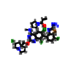 C=CC(=O)N1CC[C@@H](N(C)c2nc(OC[C@@]34CCCN3C[C@H](F)C4)nc3c(F)c(-c4ccc(F)c5sc(N)nc45)c(Cl)cc23)C1